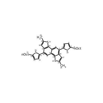 CCCCCCCCc1ccc(-c2cc3c(cc(-c4ccc(CCCCCCCC)s4)c4cc(C)sc43)c3sc(C)cc23)s1